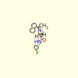 C[C@H](c1cccc2ccccc12)N1C[C@@H]2[C@H](C1)[C@H]2C(=O)NCc1cccc(F)c1